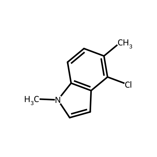 Cc1ccc2c(ccn2C)c1Cl